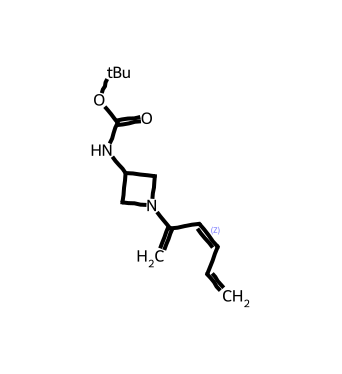 C=C/C=C\C(=C)N1CC(NC(=O)OC(C)(C)C)C1